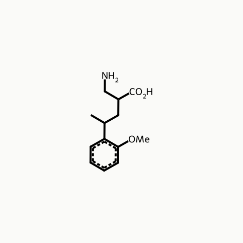 COc1ccccc1C(C)CC(CN)C(=O)O